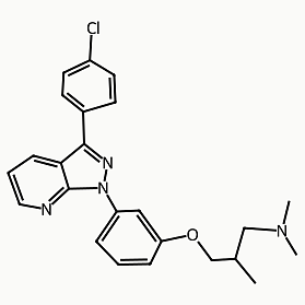 CC(COc1cccc(-n2nc(-c3ccc(Cl)cc3)c3cccnc32)c1)CN(C)C